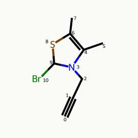 C#CCN1C(C)=C(C)SC1Br